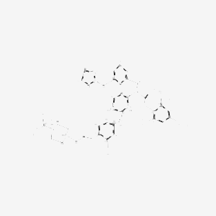 Cc1cc(C)c(OC(=O)N(Cc2cccc(Cn3cccn3)c2)c2ccnc(Nc3ccc(OCCN4CCN(C(C)C)CC4)c(F)c3)n2)c(C)c1